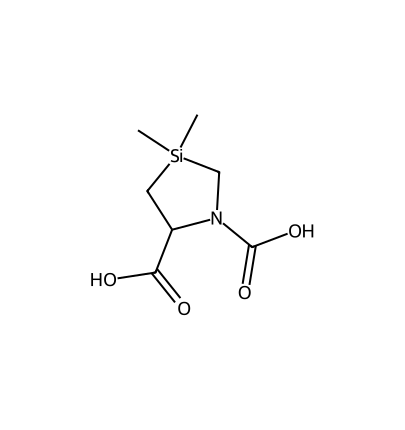 C[Si]1(C)CC(C(=O)O)N(C(=O)O)C1